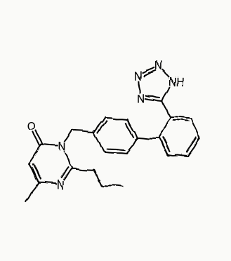 CCCc1nc(C)cc(=O)n1Cc1ccc(-c2ccccc2-c2nnn[nH]2)cc1